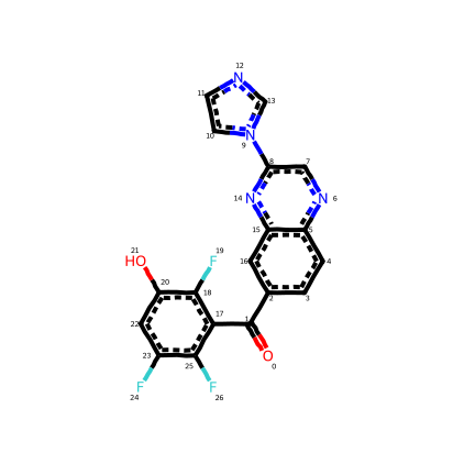 O=C(c1ccc2ncc(-n3ccnc3)nc2c1)c1c(F)c(O)cc(F)c1F